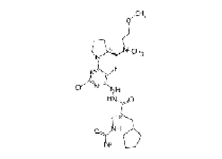 COCCN(C)C[C@@H]1CCCN1c1nc(Cl)nc(NNC(=O)[C@@H](CNC(=O)O)CC2CCCC2)c1F